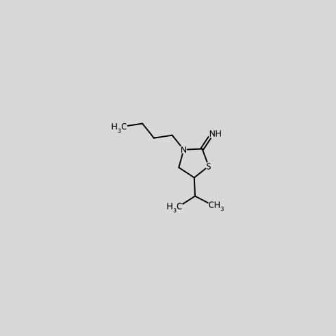 CCCCN1CC(C(C)C)SC1=N